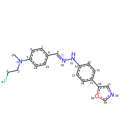 CN(CCF)c1ccc(/C=N/Nc2ccc(-c3cnco3)cc2)cc1